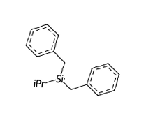 CC(C)[Si](Cc1ccccc1)Cc1ccccc1